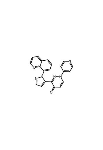 O=c1ccn(-c2ccncc2)nc1-c1ccnn1-c1cccc2cccnc12